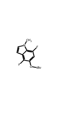 Cn1ccc2c(F)c(OC(C)(C)C)cc(F)c21